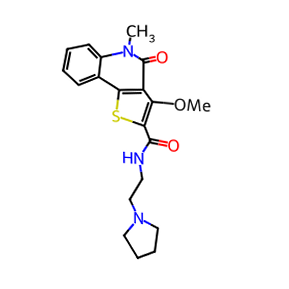 COc1c(C(=O)NCCN2CCCC2)sc2c1c(=O)n(C)c1ccccc21